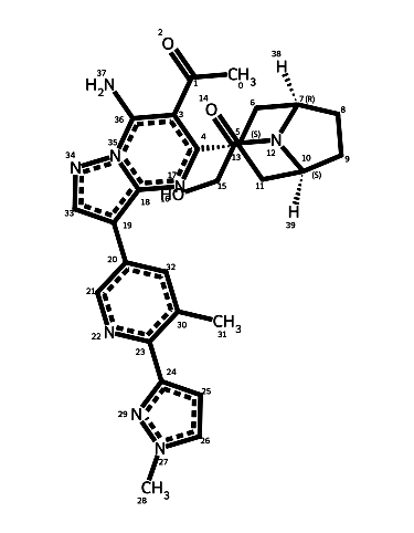 CC(=O)c1c([C@@H]2C[C@H]3CC[C@@H](C2)N3C(=O)CO)nc2c(-c3cnc(-c4ccn(C)n4)c(C)c3)cnn2c1N